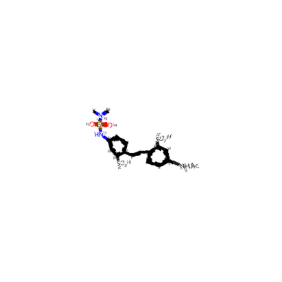 CC(=O)Nc1ccc(/C=C/c2ccc(NS(=O)(=O)N(C)C)cc2S(=O)(=O)O)c(S(=O)(=O)O)c1